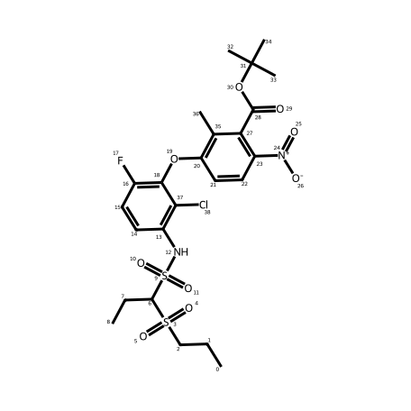 CCCS(=O)(=O)C(CC)S(=O)(=O)Nc1ccc(F)c(Oc2ccc([N+](=O)[O-])c(C(=O)OC(C)(C)C)c2C)c1Cl